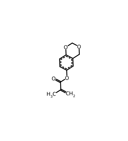 C=C(C)C(=O)Oc1ccc2c(c1)COCO2